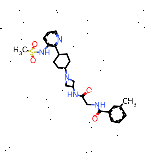 Cc1cccc(C(=O)NCC(=O)NC2CN(C3CCC(c4ncccc4NS(C)(=O)=O)CC3)C2)c1